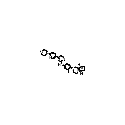 Cc1cc(Nc2nccc(-c3ccc(N4CCOCC4)nc3)n2)ccc1N1CCN2C(C1)[C@H]1CC[C@@H]2C1